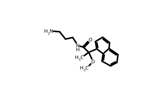 COC(C)(C(=O)NCCCN)c1cccc2ccccc12